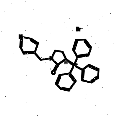 O=C1[C@H]([P+](c2ccccc2)(c2ccccc2)c2ccccc2)CCN1Cc1ccncc1.[Br-]